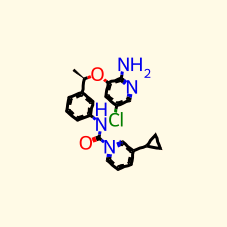 C[C@@H](Oc1cc(Cl)cnc1N)c1cccc(NC(=O)[n+]2cccc(C3CC3)c2)c1